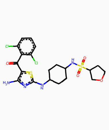 Nc1nc(NC2CCC(NS(=O)(=O)C3CCOC3)CC2)sc1C(=O)c1c(Cl)cccc1Cl